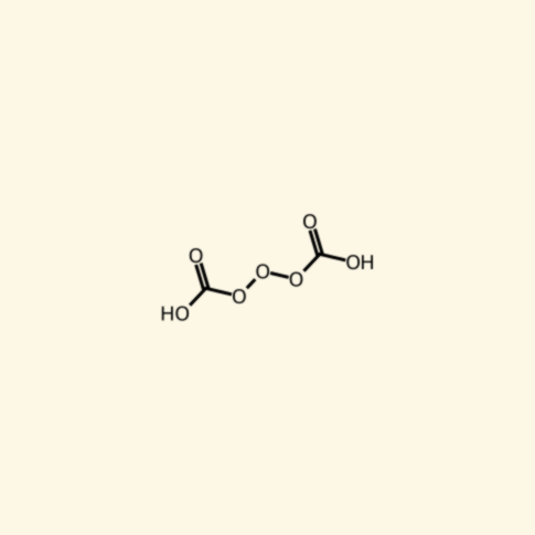 O=C(O)OOOC(=O)O